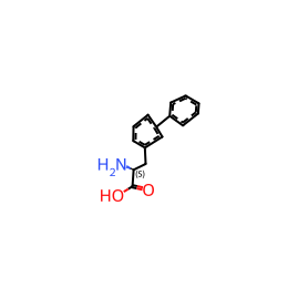 N[C@@H](Cc1cccc(-c2ccccc2)c1)C(=O)O